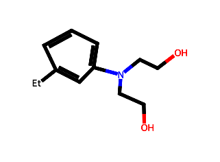 CCc1cccc(N(CCO)CCO)c1